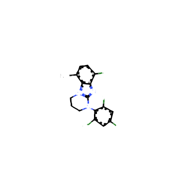 N#Cc1ccc(Cl)c2nc3n(c12)CCCN3c1c(Cl)cc(Cl)cc1Cl